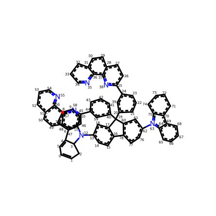 C1=CCC2C(=C1)c1ccccc1N2c1ccc2c(c1)C(c1cccc(-c3ccc4ccc5cccnc5c4n3)c1)(c1cccc(-c3ccc4ccc5cccnc5c4n3)c1)c1cc(-n3c4ccccc4c4ccccc43)ccc1-2